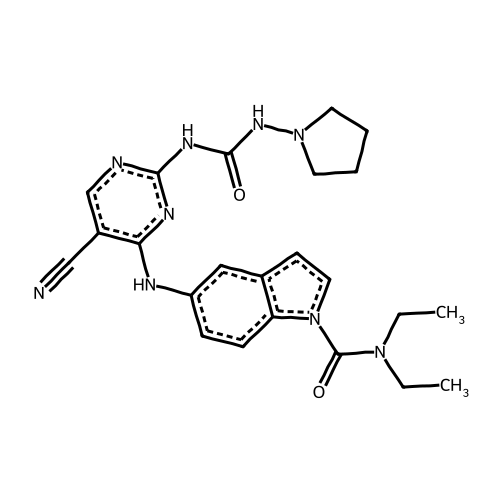 CCN(CC)C(=O)n1ccc2cc(Nc3nc(NC(=O)NN4CCCC4)ncc3C#N)ccc21